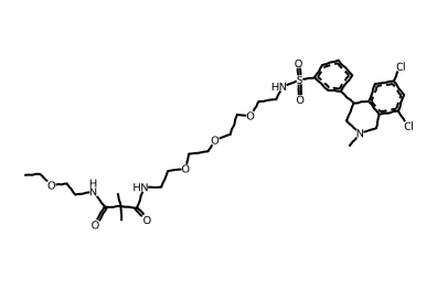 CCOCCNC(=O)C(C)(C)C(=O)NCCOCCOCCOCCNS(=O)(=O)c1cccc(C2CN(C)Cc3c(Cl)cc(Cl)cc32)c1